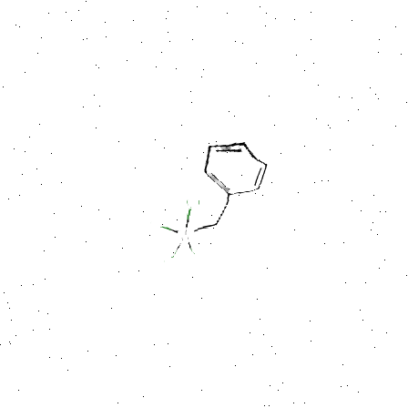 [Cl][W]([Cl])([Cl])([Cl])[CH2]c1ccccc1